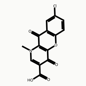 Cn1cc(C(=O)O)c(=O)c2oc3ccc(Cl)cc3c(=O)c21